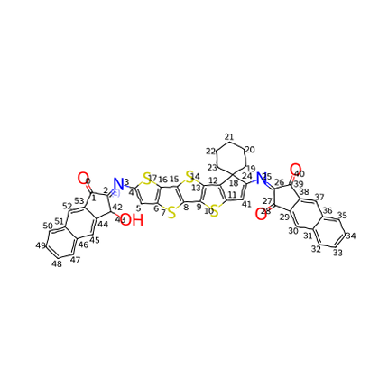 O=C1/C(=N/c2cc3sc4c5sc6c(c5sc4c3s2)C2(CCCCC2)C(N=c2c(=O)c3cc4ccccc4cc3c2=O)=C6)C(O)c2cc3ccccc3cc21